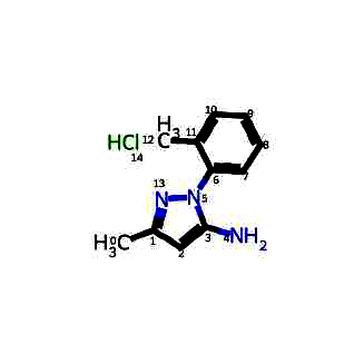 Cc1cc(N)n(-c2ccccc2C)n1.Cl